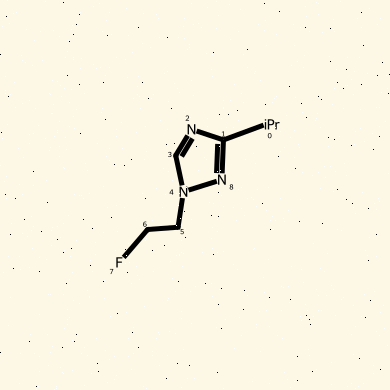 CC(C)c1ncn(CCF)n1